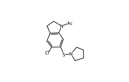 CC(=O)N1CCc2cc(Cl)c(SN3CCCC3)cc21